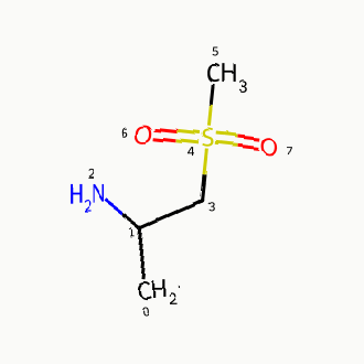 [CH2]C(N)CS(C)(=O)=O